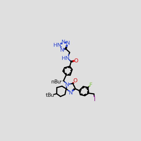 CCCC[C@H](c1ccc(C(=O)NCc2nn[nH]n2)cc1)N1C(=O)C(c2ccc(CI)c(F)c2)=NC12CCC(C(C)(C)C)CC2